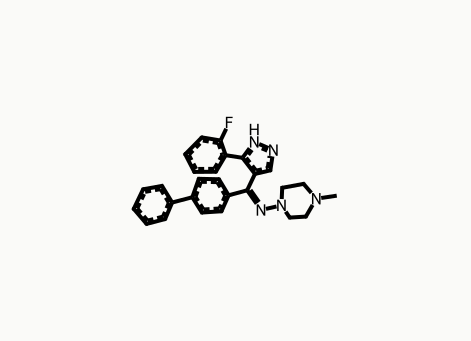 CN1CCN(N=C(c2ccc(-c3ccccc3)cc2)c2cn[nH]c2-c2ccccc2F)CC1